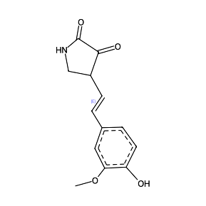 COc1cc(/C=C/C2CNC(=O)C2=O)ccc1O